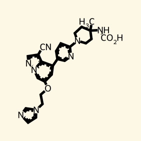 CC1(NC(=O)O)CCN(c2ccc(-c3cc(OCCn4ccnc4)cn4ncc(C#N)c34)cn2)CC1